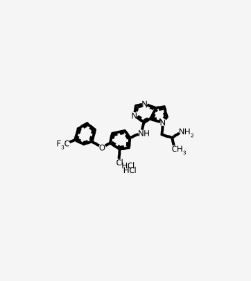 CC(N)Cn1ccc2ncnc(Nc3ccc(Oc4cccc(C(F)(F)F)c4)c(Cl)c3)c21.Cl.Cl